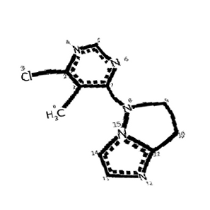 Cc1c(Cl)ncnc1N1CCc2nccn21